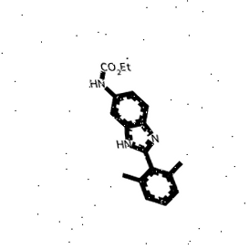 CCOC(=O)Nc1ccc2nc(-c3c(C)cccc3C)[nH]c2c1